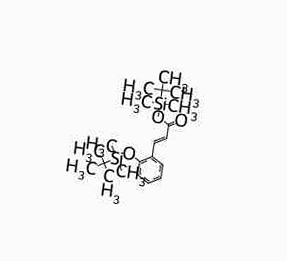 CC(C)(C)[Si](C)(C)OC(=O)C=Cc1ccccc1O[Si](C)(C)C(C)(C)C